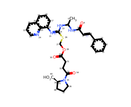 CC(NC(=O)/C=C/c1ccccc1)N/C(=N\c1cccc2cccnc12)SCOC(=O)CCC(=O)N1CCC[C@H]1C(=O)O